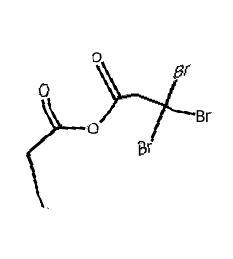 [CH2]CC(=O)OC(=O)C(Br)(Br)Br